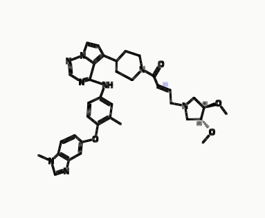 CO[C@@H]1CN(C/C=C/C(=O)N2CCC(c3ccn4ncnc(Nc5ccc(Oc6ccc7c(c6)ncn7C)c(C)c5)c34)CC2)C[C@H]1OC